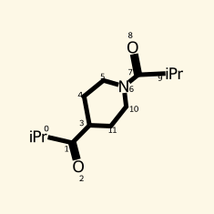 CC(C)C(=O)C1CCN(C(=O)C(C)C)CC1